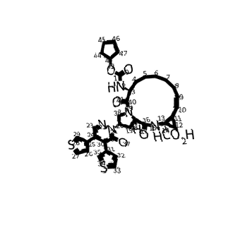 O=C(N[C@H]1CCCCC/C=C\C2C[C@@]2(C(=O)O)NC(=O)[C@@H]2C[C@@H](n3ncc(-c4ccsc4)c(-c4ccsc4)c3=O)CN2C1=O)OC1CCCC1